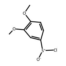 COc1ccc([S+]([O-])Cl)cc1OC